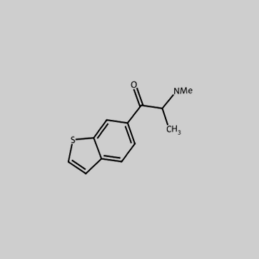 CNC(C)C(=O)c1ccc2ccsc2c1